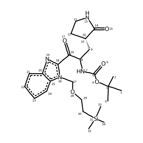 CC(C)(C)OC(=O)NC(C[C@@H]1CCNC1=O)C(=O)c1nc2ccccc2n1COCC[Si](C)(C)C